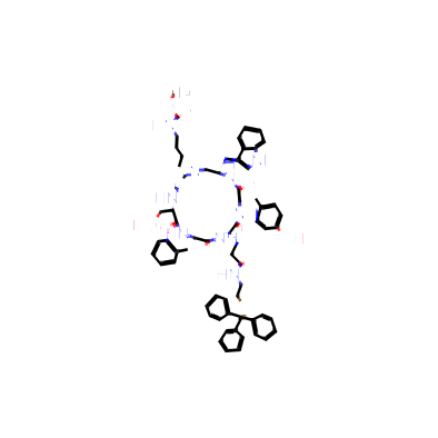 C[C@@H](O)[C@@H]1NC[C@H](CCCCNC(=O)OC(C)(C)C)NC[C@@H](Cc2c[nH]c3ccccc23)NC(=O)[C@H](Cc2ccc(O)cc2)NC(=O)[C@H](CCC(=O)NCCSC(c2ccccc2)(c2ccccc2)c2ccccc2)NC(=O)[C@H](Cc2ccccc2)NC1=O